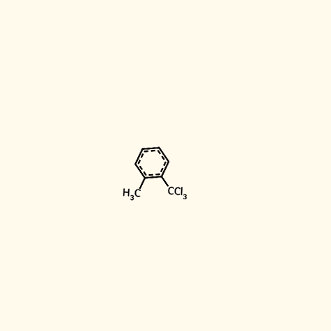 Cc1ccccc1C(Cl)(Cl)Cl